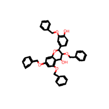 Oc1ccc(C2Oc3cc(OCc4ccccc4)cc(OCc4ccccc4)c3[C@H](O)C2OCc2ccccc2)cc1OCc1ccccc1